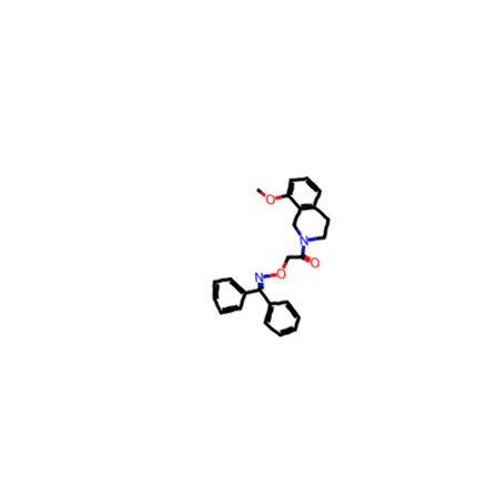 COc1cccc2c1CN(C(=O)CON=C(c1ccccc1)c1ccccc1)CC2